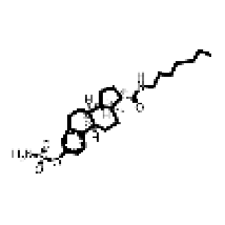 CCCCCCCNC(=O)[C@H]1CC[C@H]2[C@@H]3CCc4cc(OS(N)(=O)=O)ccc4[C@H]3CC[C@]12C